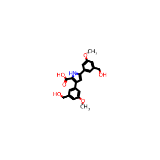 COc1cc(CO)cc(-c2cc(-c3cc(CO)cc(OC)c3)c(C(=O)O)[nH]2)c1